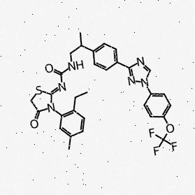 CCc1ccc(C)cc1N1C(=O)CS/C1=N\C(=O)NCC(C)c1ccc(-c2ncn(-c3ccc(OC(F)(F)F)cc3)n2)cc1